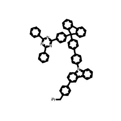 CC(C)Cc1ccc(-c2ccc3c(c2)c2ccccc2n3-c2ccc(-c3ccc(C4(c5ccc(-c6nc(-c7ccccc7)nc(-c7ccccc7)n6)cc5)c5ccccc5-c5ccccc54)cc3)cc2)cc1